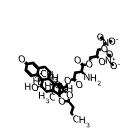 CCCC1O[C@@H]2C[C@H]3[C@@H]4CCC5=CC(=O)C=C[C@]5(C)[C@H]4[C@@H](O)C[C@]3(C)C2(C(=O)COC(=O)CC(N)C(=O)OCC(CO[N+](=O)[O-])O[N+](=O)[O-])O1